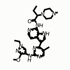 CCC(C(=O)Nc1nccc2c(-c3nc(Nc4cn(CC)nc4OC)ncc3C)c[nH]c12)N1CCN(C)CC1